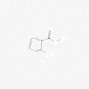 CCCCCCCCc1ccccc1C(=O)OCCCC